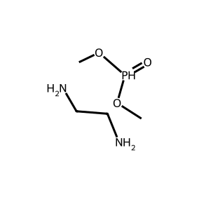 CO[PH](=O)OC.NCCN